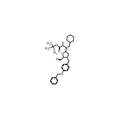 CC(C)(C)OC(=O)N[C@@H](CC1CCCCC1)C1CC(Cc2ccc(OCc3ccccc3)cc2)C(C=O)O1